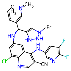 C=N/C=C(\C=C/C)[C@H](Nc1cc(Cl)c2ncc(C#N)c(Nc3cnc(F)c(F)c3)c2c1)C1=CN(C(C)C)NN1